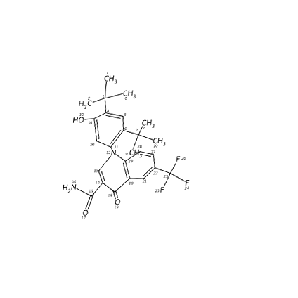 CC(C)(C)c1cc(C(C)(C)C)c(-n2cc(C(N)=O)c(=O)c3cc(C(F)(F)F)ccc32)cc1O